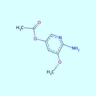 COc1cc(OC(C)=O)cnc1N